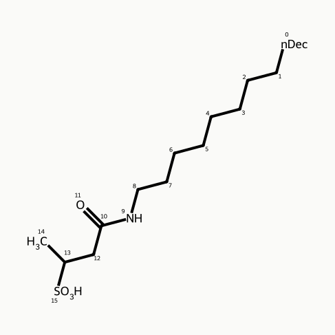 CCCCCCCCCCCCCCCCCCNC(=O)CC(C)S(=O)(=O)O